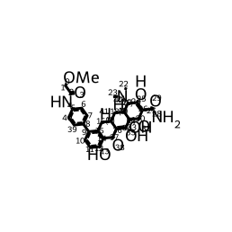 COCC(=O)Nc1ccc(-c2ccc(O)c3c2C[C@H]2C[C@H]4[C@H](N(C)C)C(O)=C(C(N)=O)C(=O)[C@@]4(O)C(O)=C2C3=O)cc1